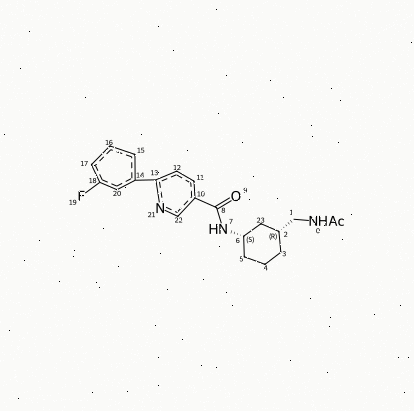 CC(=O)NC[C@@H]1CCC[C@H](NC(=O)c2ccc(-c3cccc(F)c3)nc2)C1